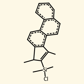 CC1=C([Si](C)(C)Cl)C(C)c2ccc3c(ccc4ccccc43)c21